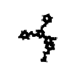 O=c1cc(-c2cc(OCc3ccccc3)cc(OCc3ccccc3)c2)oc2cc(OC[C@@H]3CO3)ccc12